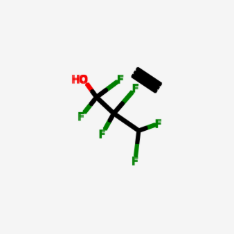 C#C.OC(F)(F)C(F)(F)C(F)F